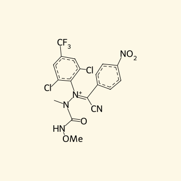 CONC(=O)N(C)[N+](=C(C#N)c1ccc([N+](=O)[O-])cc1)c1c(Cl)cc(C(F)(F)F)cc1Cl